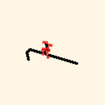 CCCCC/C=C\C/C=C\CCCCCCCC(=O)O[C@H](COC(=O)CCCCCCCCCCCCCCCCCCCCC)COP(=O)(O)OC[C@@H](O)CO